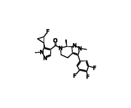 C[C@H]1c2nn(C)c(-c3cc(F)c(F)c(F)c3)c2CCN1C(=O)c1cnn(C)c1[C@H]1CC1F